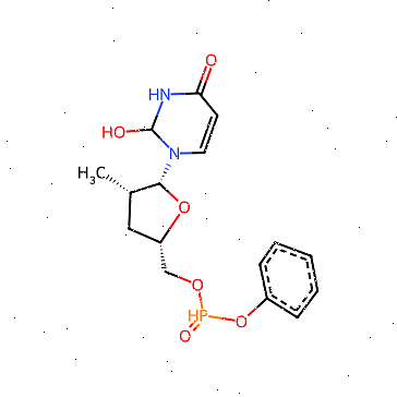 C[C@H]1C[C@@H](CO[PH](=O)Oc2ccccc2)O[C@H]1N1C=CC(=O)NC1O